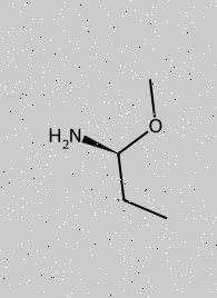 C[CH][C@@H](N)OC